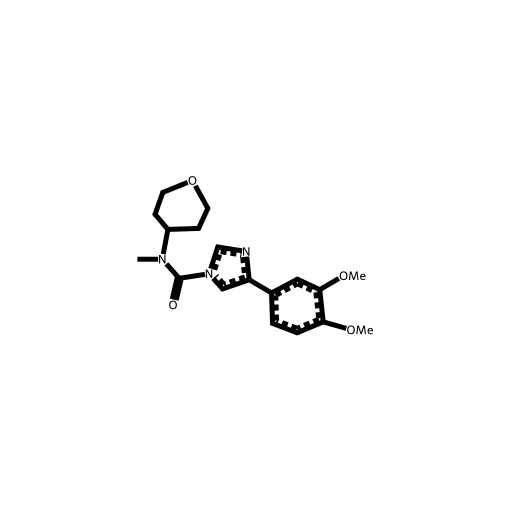 COc1ccc(-c2cn(C(=O)N(C)C3CCOCC3)cn2)cc1OC